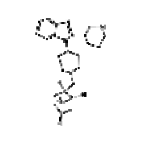 CC1(C)[C@H]2CC[C@@H](CN3CCC(n4c([C@H]5CCCNC5)nc5ccccc54)CC3)[C@H]1C2